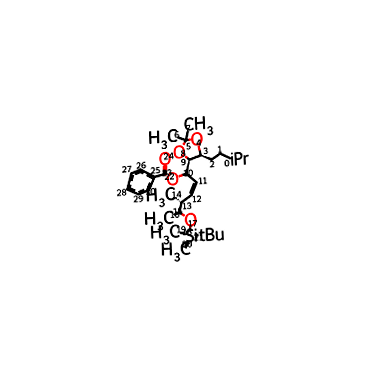 CC(C)CC[C@@H]1OC(C)(C)O[C@@H]1C(/C=C\[C@@H](C)[C@H](C)O[Si](C)(C)C(C)(C)C)OC(=O)c1ccccc1